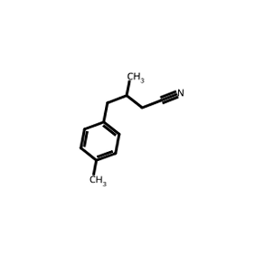 Cc1ccc(CC(C)CC#N)cc1